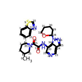 C[C@H]1CC[C@H](c2ccc3scnc3c2)N(C(=O)C(=O)Nc2cncc3cnn(C4CCCCO4)c23)C1